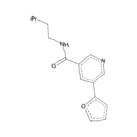 CC(C)CCNC(=O)c1cncc(-c2ccco2)c1